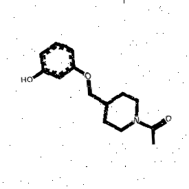 CC(=O)N1CCC(COc2cccc(O)c2)CC1